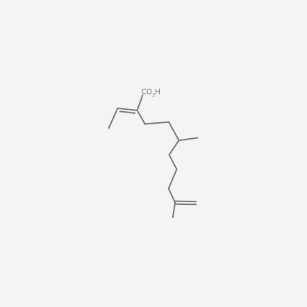 C=C(C)CCCC(C)CC/C(=C\C)C(=O)O